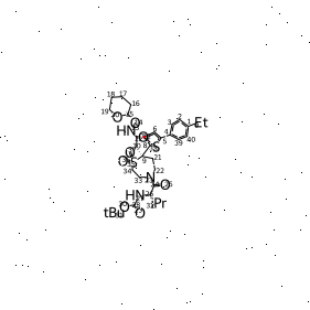 CCc1ccc(-c2ccc([C@@]3(CC(=O)NOC4CCCCO4)CCN(C(=O)[C@@H](NC(=O)OC(C)(C)C)C(C)C)CCS3(=O)=O)s2)cc1